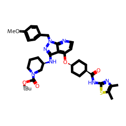 COc1ccc(Cn2nc(N[C@@H]3CCCN(C(=O)OC(C)(C)C)C3)c3c(O[C@H]4CC[C@H](C(=O)Nc5nc(C)c(C)s5)CC4)ccnc32)cc1